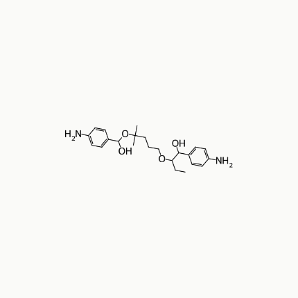 CCC(OCCCC(C)(C)OC(O)c1ccc(N)cc1)C(O)c1ccc(N)cc1